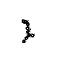 c1ccc(-c2ccc(-c3nc(-c4ccccc4)nc(-c4ccc5c(c4)oc4cc(-c6ccc7oc8cc9ccccc9cc8c7c6)ccc45)n3)cc2)cc1